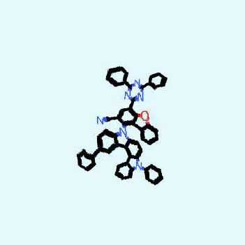 N#Cc1cc(-c2nc(-c3ccccc3)nc(-c3ccccc3)n2)c2oc3ccccc3c2c1-n1c2ccc(-c3ccccc3)cc2c2c3c4ccccc4n(-c4ccccc4)c3ccc21